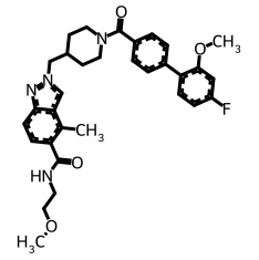 COCCNC(=O)c1ccc2nn(CC3CCN(C(=O)c4ccc(-c5ccc(F)cc5OC)cc4)CC3)cc2c1C